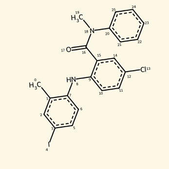 Cc1cc(I)ccc1Nc1ccc(Cl)cc1C(=O)N(C)c1ccccc1